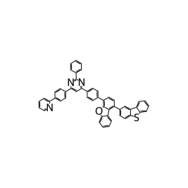 c1ccc(-c2nc(-c3ccc(-c4ccccn4)cc3)cc(-c3ccc(-c4ccc(-c5ccc6sc7ccccc7c6c5)c5c4oc4ccccc45)cc3)n2)cc1